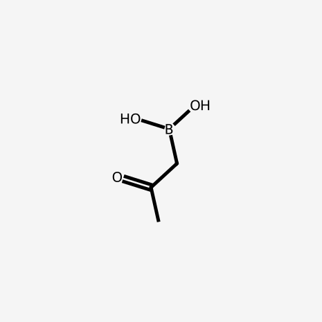 CC(=O)CB(O)O